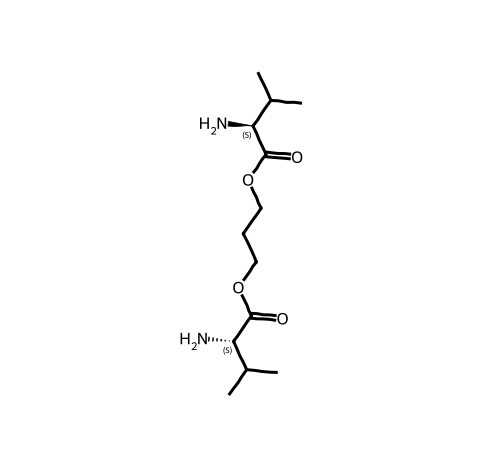 CC(C)[C@H](N)C(=O)OCCCOC(=O)[C@@H](N)C(C)C